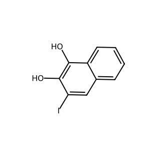 Oc1c(I)cc2ccccc2c1O